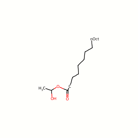 CCCCCCCCCCCCCCCC(=O)OC(C)O